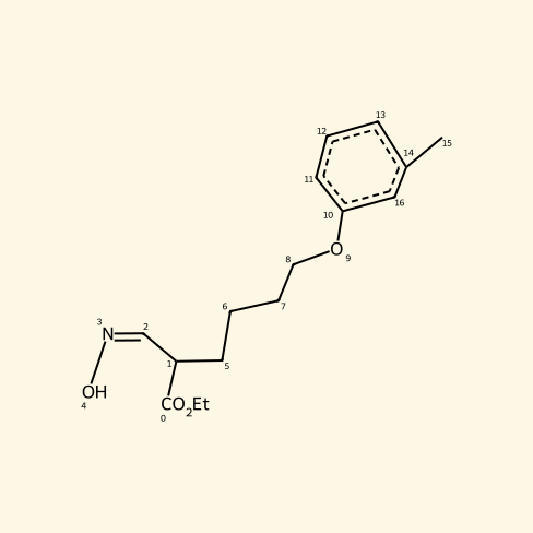 CCOC(=O)C(/C=N\O)CCCCOc1cccc(C)c1